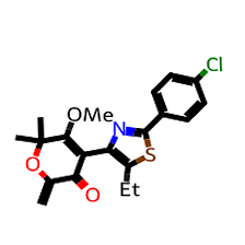 C=C1OC(C)(C)C(OC)=C(c2nc(-c3ccc(Cl)cc3)sc2CC)C1=O